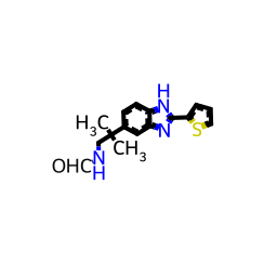 CC(C)(CNC=O)c1ccc2[nH]c(-c3cccs3)nc2c1